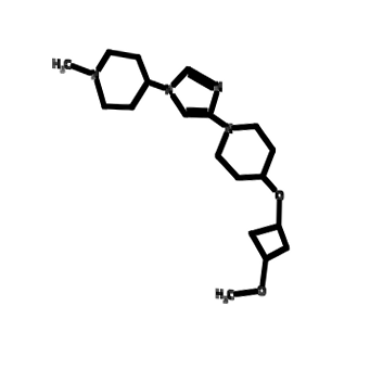 COC1CC(OC2CCN(c3cn(C4CCN(C)CC4)cn3)CC2)C1